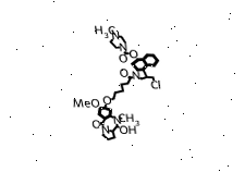 COc1cc2c(cc1OCCCCCC(=O)N1CC(CCl)c3c1cc(OC(=O)N1CCN(C)CC1)c1ccccc31)N(C)C(O)C1CCCN1C2=O